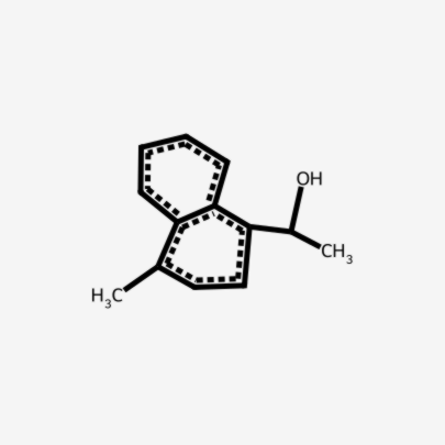 Cc1ccc(C(C)O)c2ccccc12